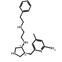 Cc1cc(N)nc(C[C@H]2CNC[C@H]2NCCNCCc2ccccc2)c1